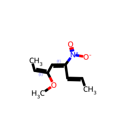 CC=C/C(=C\C(=C/C)OC)[N+](=O)[O-]